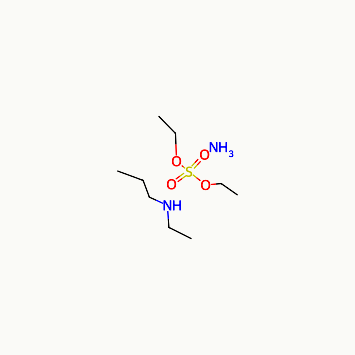 CCCNCC.CCOS(=O)(=O)OCC.N